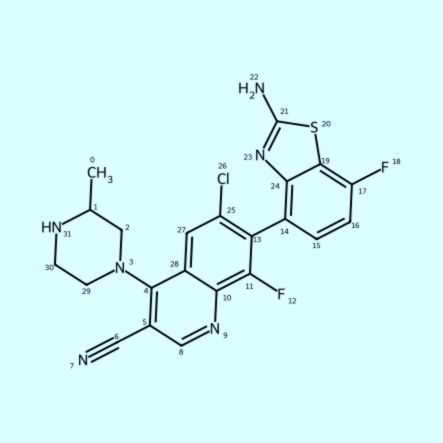 CC1CN(c2c(C#N)cnc3c(F)c(-c4ccc(F)c5sc(N)nc45)c(Cl)cc23)CCN1